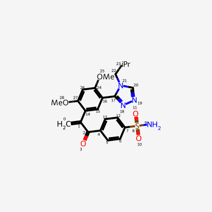 C=C(C(=O)c1ccc(S(N)(=O)=O)cc1)c1cc(-c2nncn2CC(C)C)c(OC)cc1OC